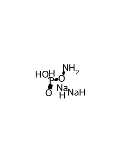 NO[PH](=O)O.[NaH].[NaH]